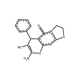 N#CC1=C(N)Oc2nc3n(c(=O)c2C1c1ccccc1)CCS3